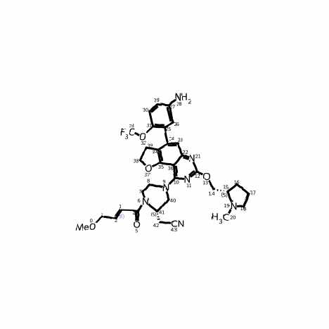 COC/C=C/C(=O)N1CCN(c2nc(OC[C@@H]3CCCN3C)nc3cc(-c4cc(N)ccc4OC(F)(F)F)c4c(c23)OCC4)C[C@@H]1CC#N